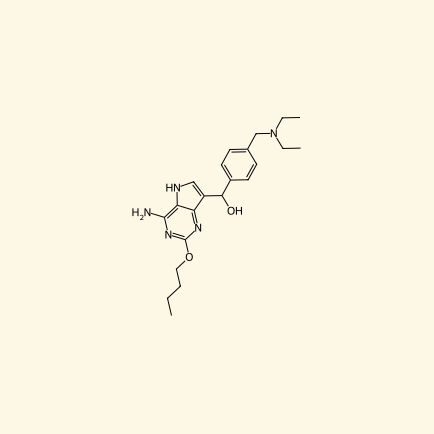 CCCCOc1nc(N)c2[nH]cc(C(O)c3ccc(CN(CC)CC)cc3)c2n1